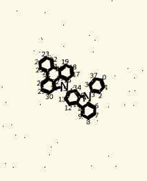 c1ccc(-n2c3ccccc3c3ccc(-n4c5cccc6c7ccccc7c7cccc4c7c65)cc32)cc1